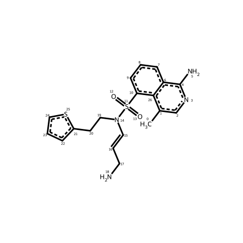 Cc1cnc(N)c2cccc(S(=O)(=O)N(C=CCN)CCc3cccs3)c12